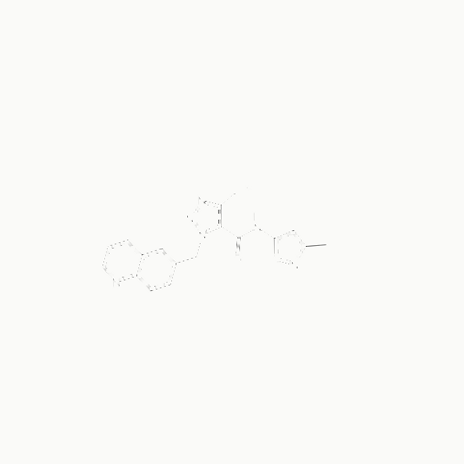 CCCc1nnn(Cc2ccc3ncccc3c2)c1C(=O)Nc1cc(C)ns1